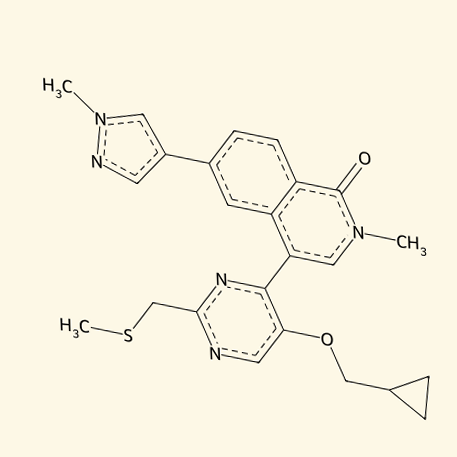 CSCc1ncc(OCC2CC2)c(-c2cn(C)c(=O)c3ccc(-c4cnn(C)c4)cc23)n1